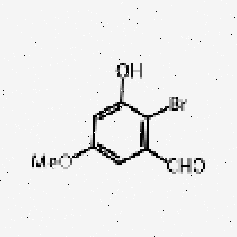 COc1cc(O)c(Br)c(C=O)c1